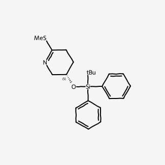 CSC1=NC[C@@H](O[Si](c2ccccc2)(c2ccccc2)C(C)(C)C)CC1